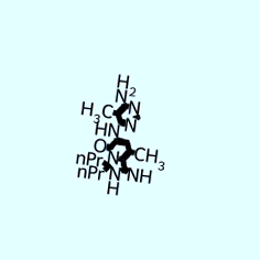 CCCC1(CCC)NC(=N)c2c(C)cc(Nc3ncnc(N)c3C)c(=O)n21